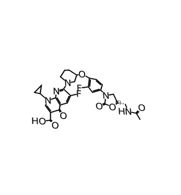 CC(=O)NC[C@H]1CN(c2ccc(OC3CCCN(c4nc5c(cc4F)c(=O)c(C(=O)O)cn5C4CC4)C3)c(F)c2)C(=O)O1